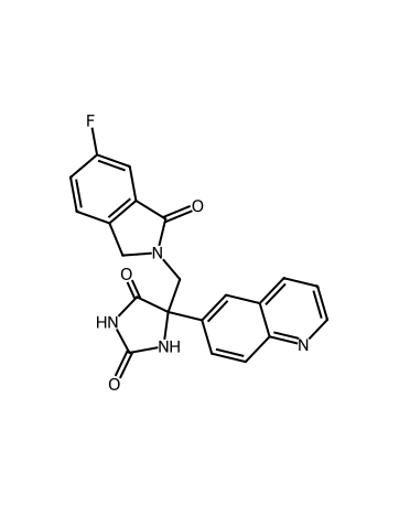 O=C1NC(=O)C(CN2Cc3ccc(F)cc3C2=O)(c2ccc3ncccc3c2)N1